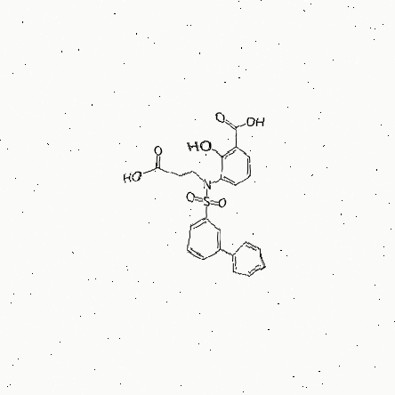 O=C(O)CCN(c1cccc(C(=O)O)c1O)S(=O)(=O)c1cccc(-c2ccccc2)c1